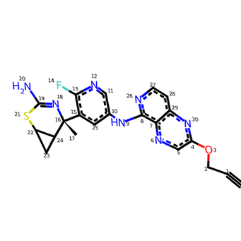 C#CCOc1cnc2c(Nc3cnc(F)c([C@@]4(C)N=C(N)SC5CC54)c3)nccc2n1